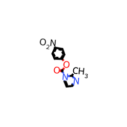 CC1N=CC=CN1C(=O)Oc1ccc([N+](=O)[O-])cc1